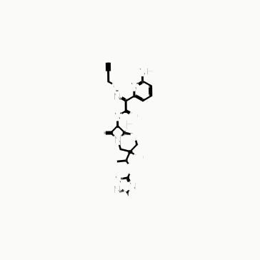 C#CCON=C(C(=O)NC1C(=O)N2CC(C(=O)O)(C(C)Sc3nnn[nH]3)CS[C@H]12)c1cccc(N)n1